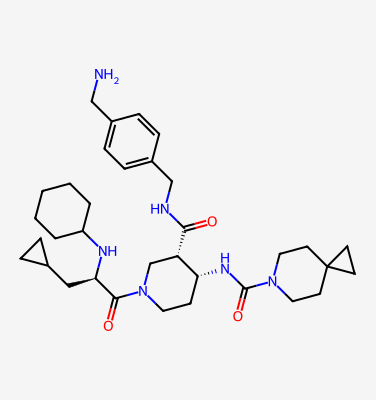 NCc1ccc(CNC(=O)[C@H]2CN(C(=O)[C@@H](CC3CC3)NC3CCCCC3)CC[C@H]2NC(=O)N2CCC3(CC2)CC3)cc1